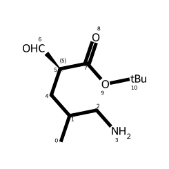 CC(CN)C[C@@H](C=O)C(=O)OC(C)(C)C